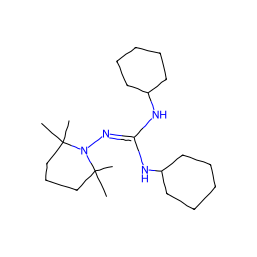 CC1(C)CCCC(C)(C)N1N=C(NC1CCCCC1)NC1CCCCC1